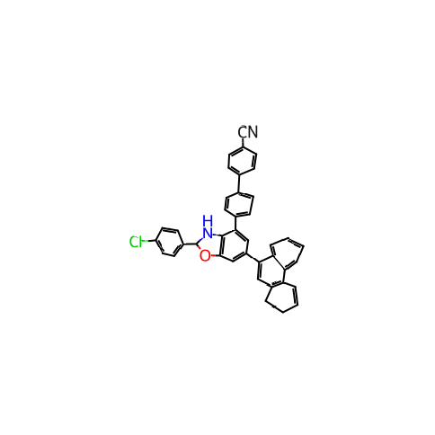 N#Cc1ccc(-c2ccc(-c3cc(-c4cc5c(c6ccccc46)C=CCC5)cc4c3NC(c3ccc(Cl)cc3)O4)cc2)cc1